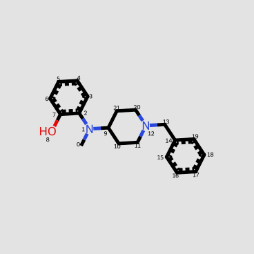 CN(c1ccccc1O)C1CCN(Cc2ccccc2)CC1